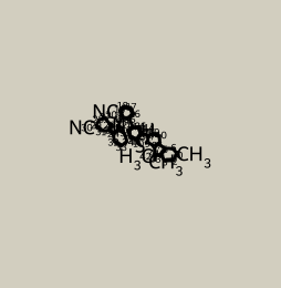 CC1C=CC2=C(C1)C1=C(C3Sc4ccc(-c5cccc(C#N)c5-n5c6c(c7c5CCC(C#N)=C7)C=CCC6)cc4[C@H]3C=C1)C2(C)C